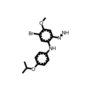 COc1cc(N=N)c(Nc2ccc(OC(C)C)cc2)cc1Br